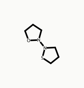 C1CON(N2CCCS2)C1